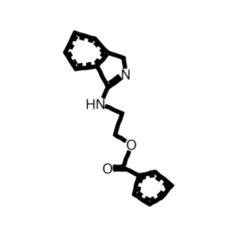 O=C(OCCNC1=NCc2ccccc21)c1ccccc1